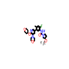 Cc1cc(F)c(NC(=O)N2CC[C@H](OC(F)(F)F)C2)cc1-c1cnc(OC2CCOCC2)c(N2CCOCC2)c1